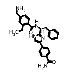 CCc1cc(CN)ccc1C(=O)N[C@@H](Cc1ccccc1)c1nc(-c2ccc(C(N)=O)cc2)c[nH]1